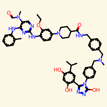 CCOc1cc(N2CCC(C(=O)NCc3ccc(CN(C)Cc4ccc(-n5c(O)nnc5-c5cc(C(C)C)c(O)cc5O)cc4)cc3)CC2)ccc1Nc1ncc(N(C)C=O)c(Nc2ccccc2C)n1